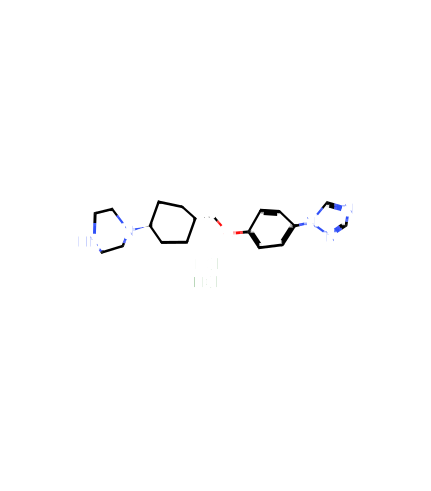 Cl.Cl.c1ncn(-c2ccc(OC[C@H]3CC[C@H](N4CCNCC4)CC3)cc2)n1